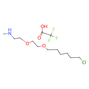 CNCCOCCOCCCCCCCl.O=C(O)C(F)(F)F